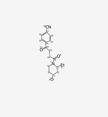 CCC1CC([O])CCN1C(=O)CCC(=O)c1ccc(C#N)cc1